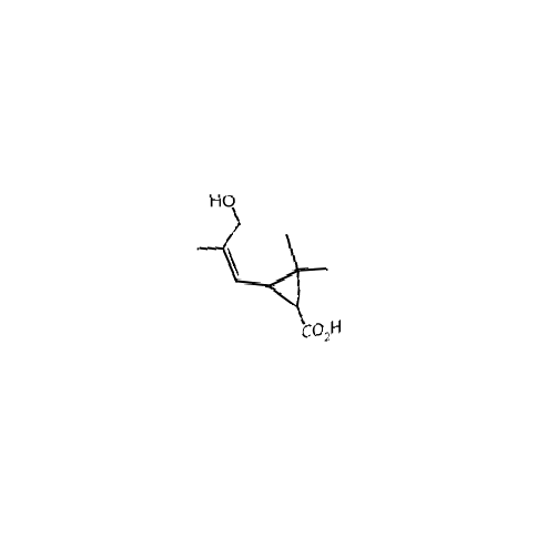 CC(=CC1C(C(=O)O)C1(C)C)CO